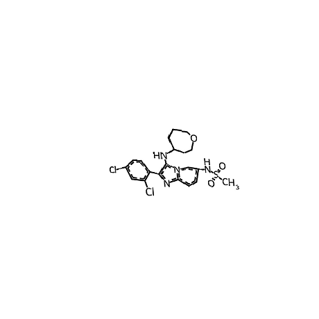 CS(=O)(=O)Nc1ccc2nc(-c3ccc(Cl)cc3Cl)c(NC3CCCOCC3)n2c1